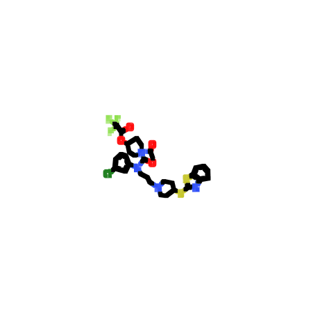 CC(=O)[N+]1(C(=O)N(CCCN2CCC(Sc3nc4ccccc4s3)CC2)c2cccc(Cl)c2)CCC(OC(=O)C(F)(F)F)CC1